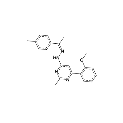 COc1ccccc1-c1cc(NN=C(C)c2ccc(C)cc2)nc(C)n1